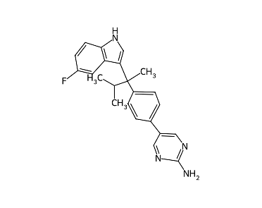 CC(C)C(C)(c1ccc(-c2cnc(N)nc2)cc1)c1c[nH]c2ccc(F)cc12